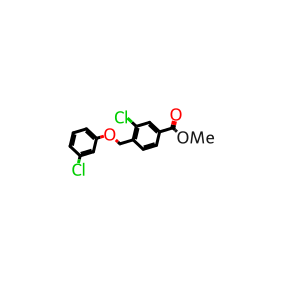 COC(=O)c1ccc(COc2cccc(Cl)c2)c(Cl)c1